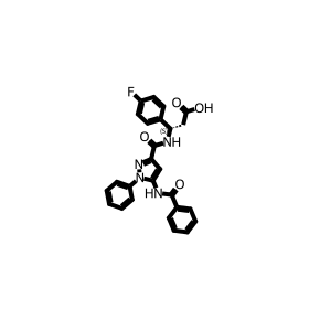 O=C(O)C[C@H](NC(=O)c1cc(NC(=O)c2ccccc2)n(-c2ccccc2)n1)c1ccc(F)cc1